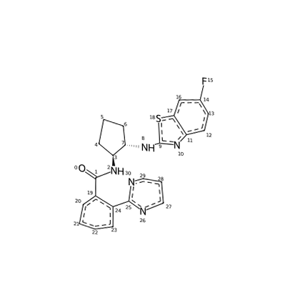 O=C(N[C@H]1CCC[C@@H]1Nc1nc2ccc(F)cc2s1)c1ccccc1-c1ncccn1